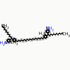 CCCCCCCCCCCC(c1ccc(CCCCCCCCCCCCCCCCCCCc2ccc(C(CCCCCCCCCCC)c3ccc(N)cc3C)cc2)cc1)c1ccc(N)cc1C